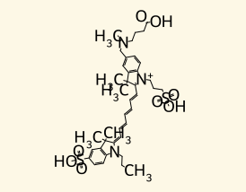 CCCN1/C(=C/C=C/C=C/C=C/C2=[N+](CCCS(=O)(=O)O)c3ccc(CN(C)CCCC(=O)O)cc3C2(C)C)C(C)(C)c2cc(S(=O)(=O)O)ccc21